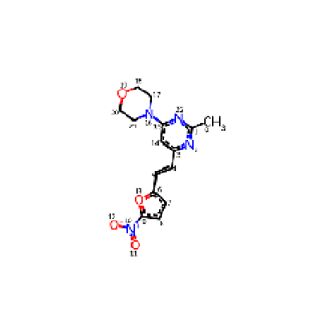 Cc1nc(C=Cc2ccc([N+](=O)[O-])o2)cc(N2CCOCC2)n1